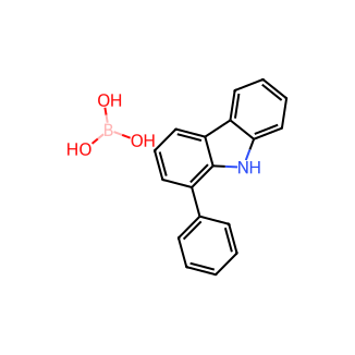 OB(O)O.c1ccc(-c2cccc3c2[nH]c2ccccc23)cc1